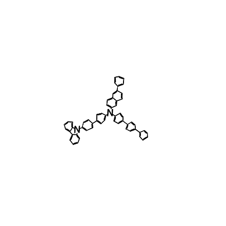 c1ccc(-c2ccc(-c3ccc(N(c4ccc(-c5ccc(-n6c7ccccc7c7ccccc76)cc5)cc4)c4ccc5cc(-c6ccccc6)ccc5c4)cc3)cc2)cc1